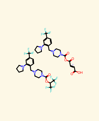 O=C(O)/C=C/C(=O)OC(=O)N1CCN(Cc2ccc(C(F)(F)F)cc2N2CCCC2)CC1.O=C(OC(C(F)(F)F)C(F)(F)F)N1CCN(Cc2ccc(C(F)(F)F)cc2N2CCCC2)CC1